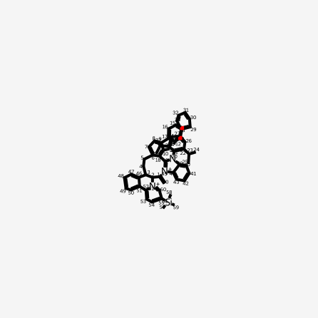 C=C1C2C(CCc3ccc4c(sc5ccccc54)c3-c3n(-c4c(C(C)C)cc(-c5ccccc5)cc4C(C)C)c4ccccc4[n+]31)c1ccccc1-c1ccc([Si](C)(C)C)c[n+]12